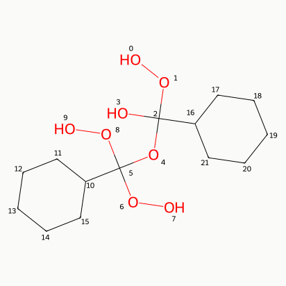 OOC(O)(OC(OO)(OO)C1CCCCC1)C1CCCCC1